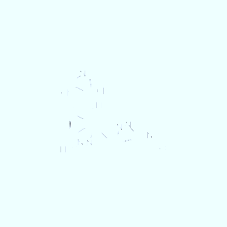 CC(Oc1ccc2c(c1)c(/C=C/c1ccc(CN3CCOCC3)nn1)nn2C)c1c(Cl)cncc1Cl